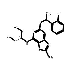 CC(C)C[C@H](CO)Nc1nc(SC(C)c2ccccc2F)nc2nc(N)sc12